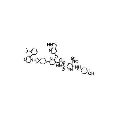 CC(C)c1ccccc1[C@@H]1COCCN1C1CC2(CCN(c3ccc(C(=O)NS(=O)(=O)c4cnc(NC[C@H]5CC[C@](C)(O)CC5)c([N+](=O)[O-])c4)c(Oc4cnc5[nH]ccc5c4)n3)CC2)C1